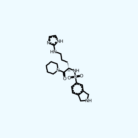 O=C([C@H](CCCNc1ncc[nH]1)NS(=O)(=O)c1ccc2c(c1)CNC2)N1CCCCC1